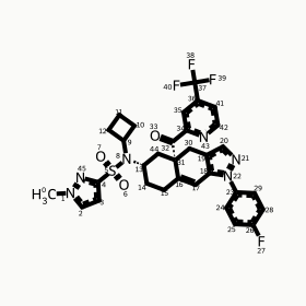 Cn1ccc(S(=O)(=O)N(C2CCC2)[C@H]2CCC3=Cc4c(cnn4-c4ccc(F)cc4)C[C@]3(C(=O)c3cc(C(F)(F)F)ccn3)C2)n1